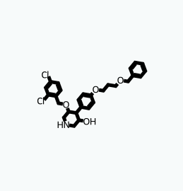 OC1CNCC(OCc2ccc(Cl)cc2Cl)C1c1ccc(OCCCOCc2ccccc2)cc1